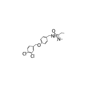 CCC(C(=O)NCc1ccc(OCc2ccc(Cl)c(Cl)c2)cc1)N(C)C